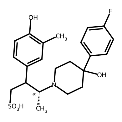 Cc1cc(C(CS(=O)(=O)O)[C@@H](C)N2CCC(O)(c3ccc(F)cc3)CC2)ccc1O